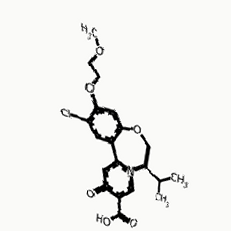 COCCOc1cc2c(cc1Cl)-c1cc(=O)c(C(=O)O)cn1[C@H](C(C)C)CO2